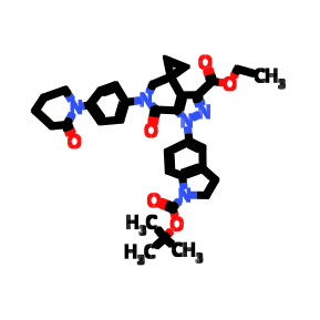 CCOC(=O)c1nn(-c2ccc3c(c2)CCN3C(=O)OC(C)(C)C)c2c1C1(CC1)CN(c1ccc(N3CCCCC3=O)cc1)C2=O